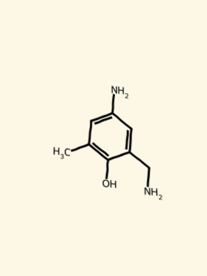 Cc1cc(N)cc(CN)c1O